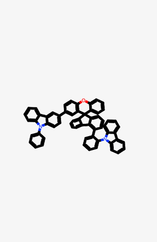 c1ccc(-n2c3ccccc3c3cc(-c4ccc5c(c4)C4(c6ccccc6O5)c5ccccc5-c5c(-c6ccccc6-n6c7ccccc7c7ccccc76)cccc54)ccc32)cc1